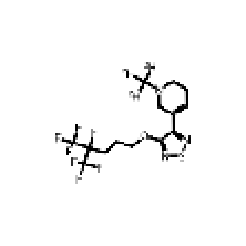 [2H]C([2H])([2H])N1CCC=C(c2nsnc2OCCCC(F)(C(F)(F)F)C(F)(F)F)C1